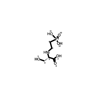 O=C(O)[C@H](CO)NCCP(=O)(O)O